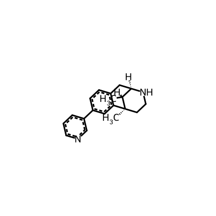 C[C@@H]1[C@H]2Cc3ccc(-c4cccnc4)cc3[C@]1(C)CCN2